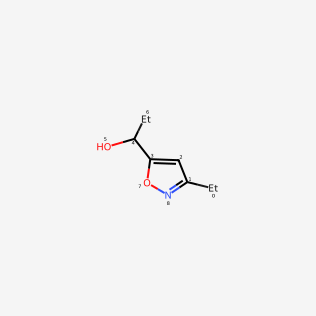 CCc1cc(C(O)CC)on1